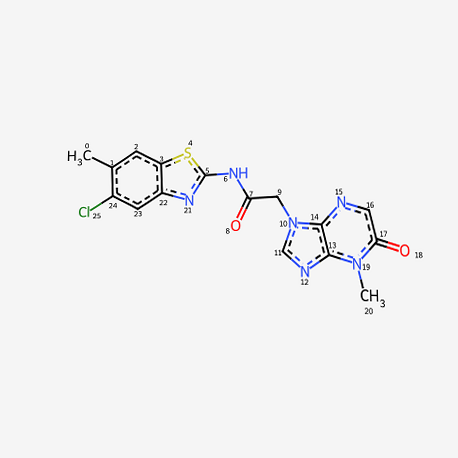 Cc1cc2sc(NC(=O)Cn3cnc4c3ncc(=O)n4C)nc2cc1Cl